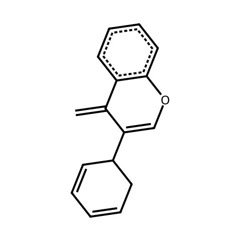 C=C1C(C2C=CC=CC2)=COc2ccccc21